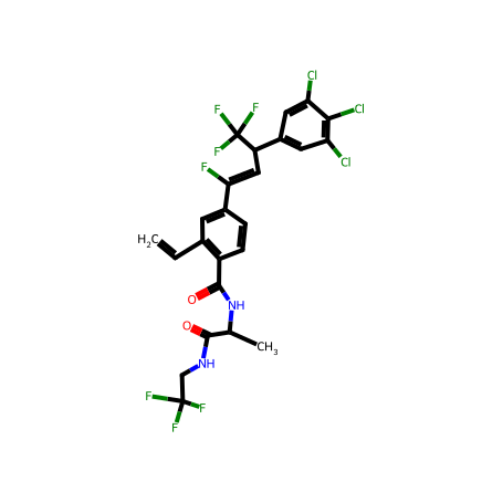 C=Cc1cc(/C(F)=C/C(c2cc(Cl)c(Cl)c(Cl)c2)C(F)(F)F)ccc1C(=O)NC(C)C(=O)NCC(F)(F)F